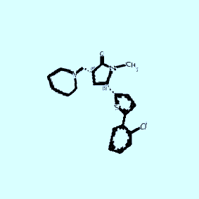 CN1C(=O)[C@@H](CN2CCCCC2)C[C@H]1c1ccc(-c2ccccc2Cl)s1